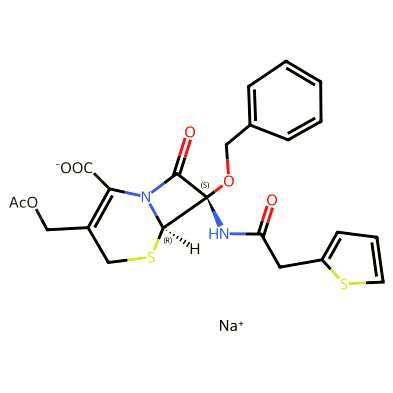 CC(=O)OCC1=C(C(=O)[O-])N2C(=O)[C@](NC(=O)Cc3cccs3)(OCc3ccccc3)[C@H]2SC1.[Na+]